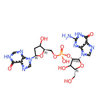 Nc1nc2c(ncn2[C@@H]2O[C@H](CO)C(O)[C@@H]2OP(=O)(O)OC[C@H]2O[C@@H](n3cnc4c(=O)[nH]cnc43)CC2O)c(=O)[nH]1